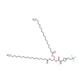 CCCCCCCCCCCCCCCCCC(=O)OCC(COC(=O)CCCCCCCCCCCCCCCCC)OC(=O)NC1CN(CCC(F)(F)F)C1